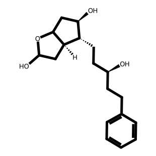 OC1C[C@H]2C(C[C@@H](O)[C@@H]2CC[C@@H](O)CCc2ccccc2)O1